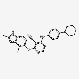 Cc1cc2c(F)c(Oc3ncnc(Nc4ccc(N5CCCCC5)cc4)c3C#N)ccc2[nH]1